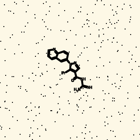 CC(C)c1c(C(=O)NC(=N)N)cnn1-c1ccc2ncccc2c1